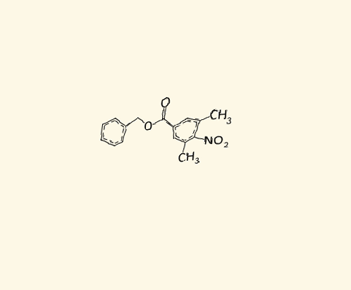 Cc1cc(C(=O)OCc2ccccc2)cc(C)c1[N+](=O)[O-]